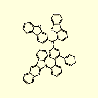 C1=CC(c2cc(N(c3ccc4c(c3)oc3ccccc34)c3cccc4c3oc3ccccc34)ccc2-c2ccccc2-n2c3ccccc3c3cc4ccccc4cc32)=CCC1